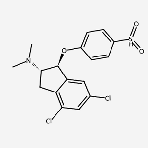 CN(C)[C@H]1Cc2c(Cl)cc(Cl)cc2[C@@H]1Oc1ccc([SH](=O)=O)cc1